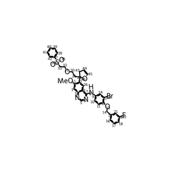 COc1cc2ncnc(Nc3ccc(OCc4cccc(F)c4)c(Br)c3)c2cc1C1(CCOCCS(=O)(=O)c2ccccc2)CC=CO1